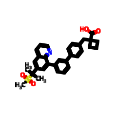 CC(C)(c1cc(-c2cccc(-c3ccc(CC4(C(=O)O)CCC4)cc3)c2)c2ncccc2c1)S(C)(=O)=O